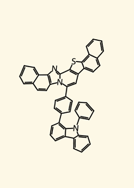 c1ccc(-n2c3ccccc3c3cccc(-c4ccc(-c5cc6c7ccc8ccccc8c7sc6c6nc7c8ccccc8ccc7n56)cc4)c32)cc1